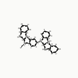 In1c2ccc(-n3c4ccccc4n4c5ccccc5nc34)cc2n2c3ccccc3nc12